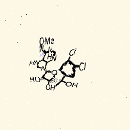 CO/N=C1\NC=NC2C1NCN2[C@@H]1O[C@H](C(C)(O)c2ccc(Cl)c(Cl)c2)[C@@H](O)[C@H]1O